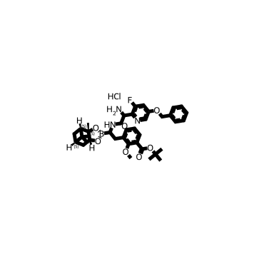 COc1c(CC(NC(=O)C(N)c2ncc(OCc3ccccc3)cc2F)B2O[C@@H]3C[C@@H]4C[C@@H](C4(C)C)[C@]3(C)O2)cccc1C(=O)OC(C)(C)C.Cl